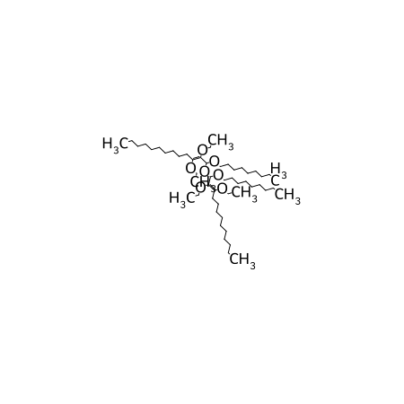 CCCCCCCCCCC(OCC)=C(OCC)C(OCCCCCCCCC)OC(OCCCCCCCCC)C(OCC)=C(CCCCCCCCCC)OCC